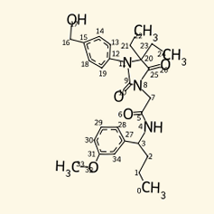 CCCC(NC(=O)CN1C(=O)N(c2ccc(CO)cc2)C(CC)(CC)C1=O)c1cccc(OC)c1